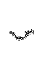 CCCC1c2ccc(OCCN3CCC(C(=O)Nc4ncc(SCc5ncc(C(C)(C)C)o5)s4)CC3)cc2CCN1C(=O)/C(C#N)=C/c1nccs1